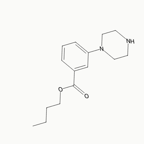 CCCCOC(=O)c1cccc(N2CCNCC2)c1